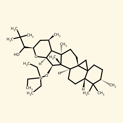 CC[Si](CC)(CC)O[C@H]1[C@H]2O[C@@H](C(O)C(C)(C)C)C[C@@H](C)C2[C@@]2(C)CC[C@@]34CC35CC[C@H](C)C(C)(C)[C@@H]5CC[C@H]4[C@]12C